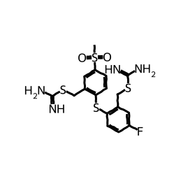 CS(=O)(=O)c1ccc(Sc2ccc(F)cc2CSC(=N)N)c(CSC(=N)N)c1